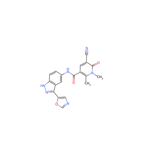 Cc1c(C(=O)Nc2ccc3[nH]nc(-c4cnco4)c3c2)cc(C#N)c(=O)n1C